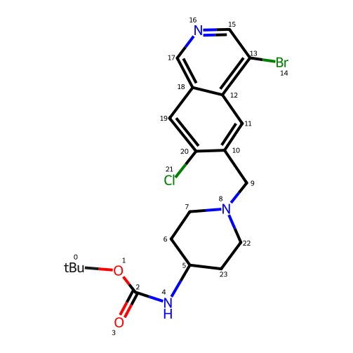 CC(C)(C)OC(=O)NC1CCN(Cc2cc3c(Br)cncc3cc2Cl)CC1